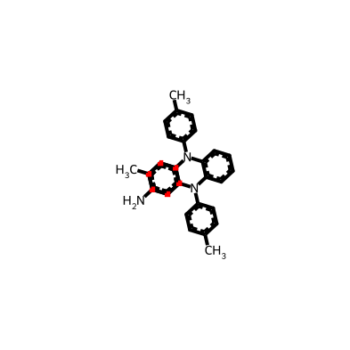 Cc1ccc(N(c2ccc(C)cc2)c2ccccc2N(c2ccc(C)cc2)c2ccc(N)cc2)cc1